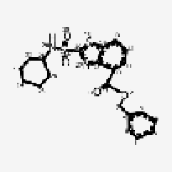 O=C(OCc1ccccc1)c1cccc2sc(S(=O)(=O)NC3CCCCC3)nc12